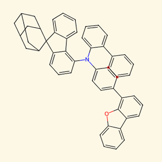 c1ccc(-c2ccccc2N(c2ccc(-c3cccc4c3oc3ccccc34)cc2)c2cccc3c2-c2ccccc2C32C3CC4CC(C3)CC2C4)cc1